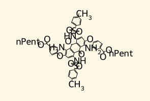 CCCCCOC(=O)c1ccc(Oc2cc(NS(=O)(=O)c3ccc(C)cc3)c3c(c2N)C(=O)c2c(NS(=O)(=O)c4ccc(C)cc4)cc(Oc4ccc(C(=O)OCCCCC)cc4)c(N)c2C3=O)cc1